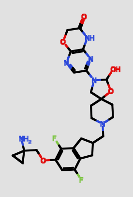 NC1(COc2cc(F)c3c(c2F)CC(CN2CCC4(CC2)CN(c2cnc5c(n2)NC(=O)CO5)C(O)O4)C3)CC1